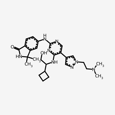 CN(C)CCn1cc(-c2cnc(Nc3ccc4c(c3)C(C)(C)NC4=O)nc2NC(CO)C2CCC2)cn1